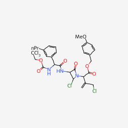 C=C(CCl)C(C(=O)OCc1ccc(OC)cc1)N1C(=O)C(NC(=O)C(NC(=O)OCC(Cl)(Cl)Cl)c2cccc(CCC)c2)C1Cl